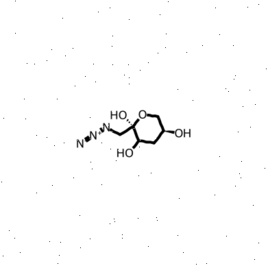 [N-]=[N+]=NC[C@@]1(O)OC[C@@H](O)CC1O